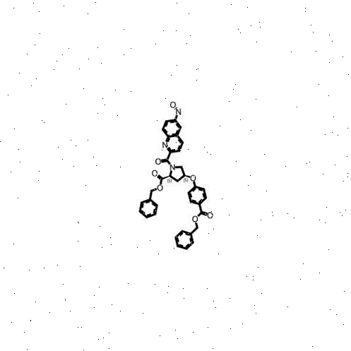 O=Nc1ccc2nc(C(=O)N3C[C@@H](Oc4ccc(C(=O)OCc5ccccc5)cc4)C[C@H]3C(=O)OCc3ccccc3)ccc2c1